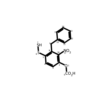 O=C(O)Oc1ccc(SS)c(Cc2ccccc2)c1[N+](=O)[O-]